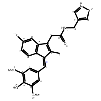 COc1cc(/C=C2/C(C)=C(CC(=O)NCc3cnsc3)c3cc(F)ccc32)cc(OC)c1O